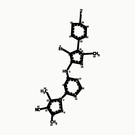 CCc1c(Nc2cc(-n3nc(C)c(C#N)c3C)ncn2)nn(C)c1-c1ccc(F)cc1